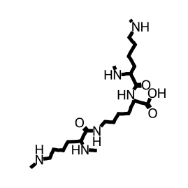 CNCCCCC(NC)C(=O)NCCCCC(NC(=O)C(CCCCNC)NC)C(=O)O